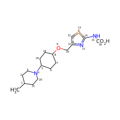 CC1CCN(C2CCC(OCc3csc(NC(=O)O)n3)CC2)CC1